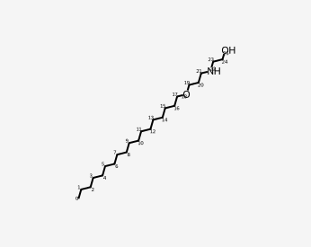 CCCCCCCCCCCCCCCCCCOCCCNCCO